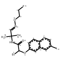 CCC(Oc1ccc2ncc(I)cc2c1)C(=O)NC(C)(C)C=NOCCF